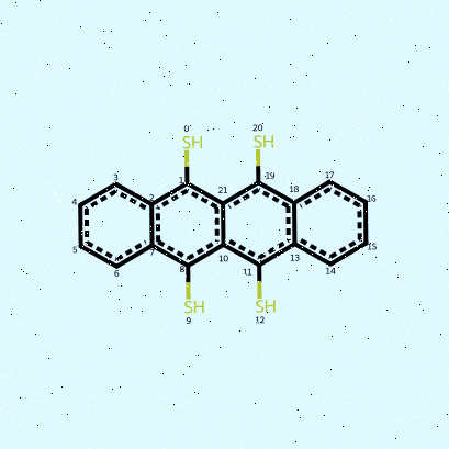 Sc1c2ccccc2c(S)c2c(S)c3ccccc3c(S)c12